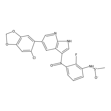 C[S+]([O-])Nc1cccc(C(=O)c2c[nH]c3ncc(-c4cc5c(cc4Cl)OCO5)cc23)c1F